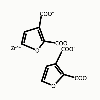 O=C([O-])c1ccoc1C(=O)[O-].O=C([O-])c1ccoc1C(=O)[O-].[Zr+4]